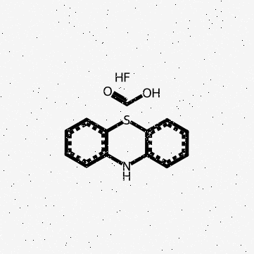 F.O=CO.c1ccc2c(c1)Nc1ccccc1S2